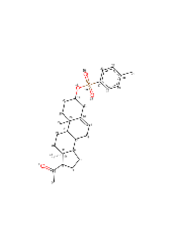 CC(=O)C1CCC2C3CC=C4CC(OS(=O)(=O)c5ccc(C)cc5)CCC4(C)C3CC[C@]12C